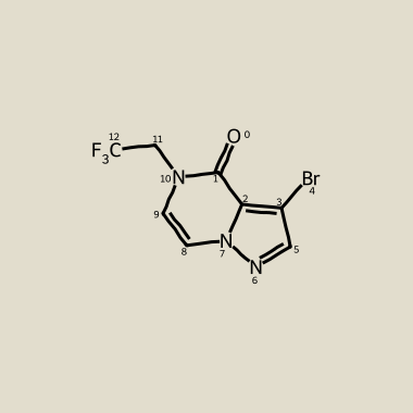 O=c1c2c(Br)cnn2ccn1CC(F)(F)F